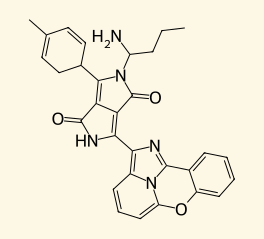 CCCC(N)N1C(=O)C2=C(c3nc4n5c(cccc35)Oc3ccccc3-4)NC(=O)C2=C1C1C=CC(C)=CC1